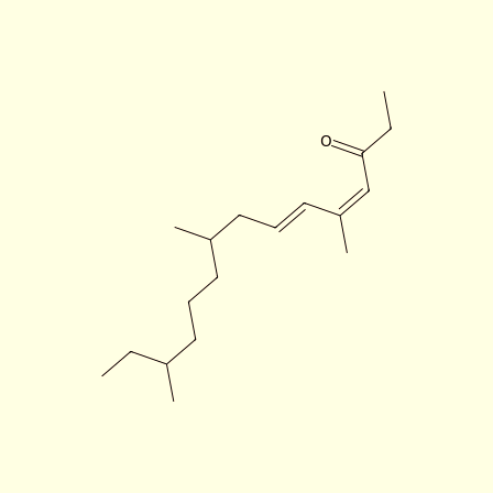 CCC(=O)C=C(C)C=CCC(C)CCCC(C)CC